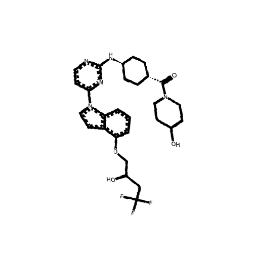 O=C([C@H]1CC[C@H](Nc2nccc(-n3ccc4c(OCC(O)CC(F)(F)F)cccc43)n2)CC1)N1CCC(O)CC1